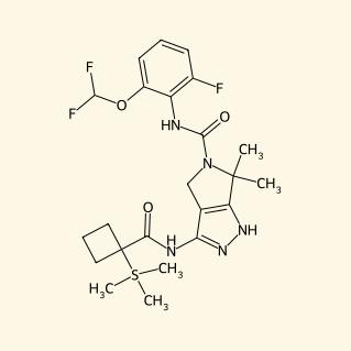 CC1(C)c2[nH]nc(NC(=O)C3(S(C)(C)C)CCC3)c2CN1C(=O)Nc1c(F)cccc1OC(F)F